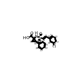 O=C(O)C1(NS(=O)(=O)C=Cc2cccc(Cl)c2)CC1c1ccccc1